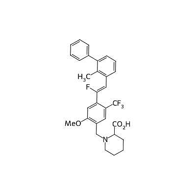 COc1cc(C(F)=Cc2cccc(-c3ccccc3)c2C)c(C(F)(F)F)cc1CN1CCCCC1C(=O)O